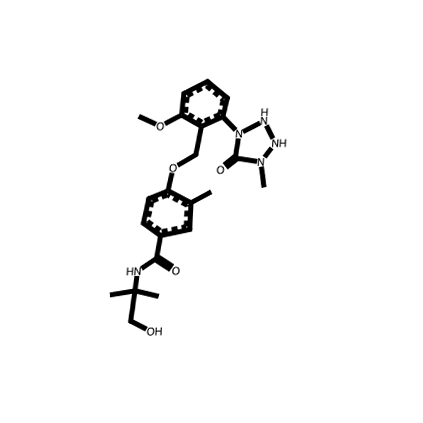 COc1cccc(N2NNN(C)C2=O)c1COc1ccc(C(=O)NC(C)(C)CO)cc1C